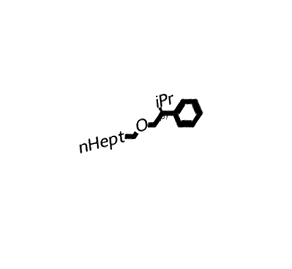 CCCCCCCCOC[C@H](c1ccccc1)C(C)C